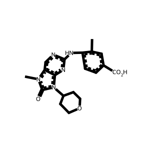 Cc1cc(C(=O)O)ccc1Nc1ncc2c(n1)n(C1CCOCC1)c(=O)n2C